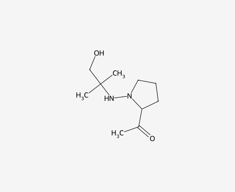 CC(=O)C1CCCN1NC(C)(C)CO